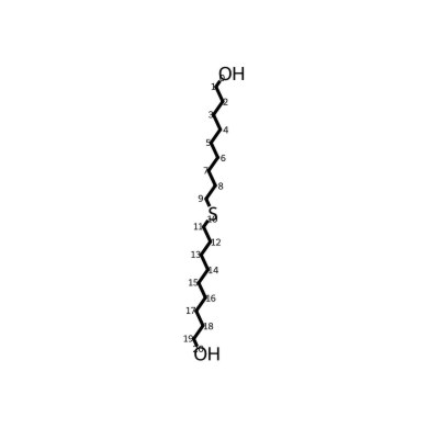 OCCCCCCCCCSCCCCCCCCCO